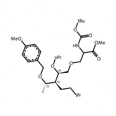 CCCO[C@@H](COCC(NC(=O)OC(C)(C)C)C(=O)OC)[C@@H](CCC(C)C)[C@H](C)OCc1ccc(OC)cc1